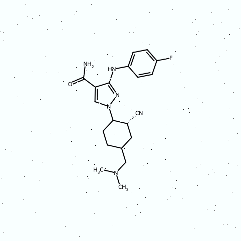 CN(C)CC1CCC(n2cc(C(N)=O)c(Nc3ccc(F)cc3)n2)[C@H](C#N)C1